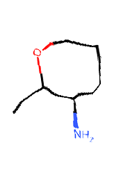 CC1OCCC[C@H]1N